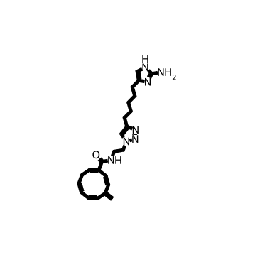 C=C1/C=C\C=C/C/C=C(C(=O)NCCn2cc(CCCCCc3c[nH]c(N)n3)nn2)\C=C/1